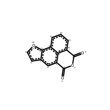 O=C1OC(=O)c2cc3ccoc3c3cccc1c23